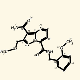 COCc1nn2c(C(=O)NCc3ccccc3OC)ccnc2c1C(N)=O